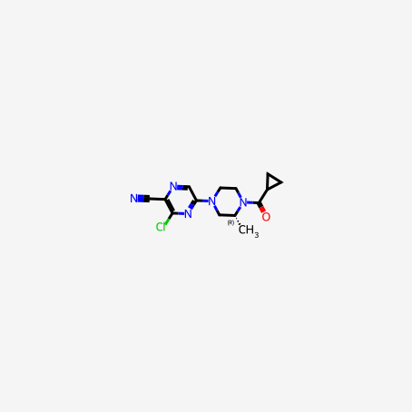 C[C@@H]1CN(c2cnc(C#N)c(Cl)n2)CCN1C(=O)C1CC1